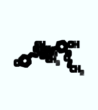 C=CCOOC1CC(CC[Si](C)(C)O[Si](C)(CCC2CCC3OC3C2)OC)CCC1O